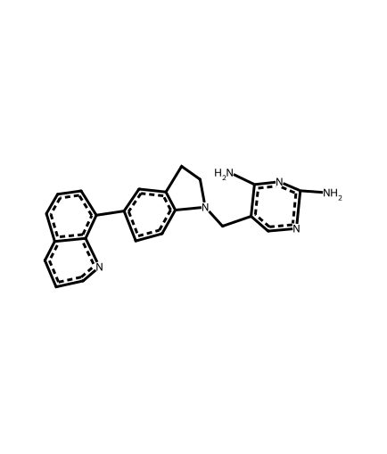 Nc1ncc(CN2CCc3cc(-c4cccc5cccnc45)ccc32)c(N)n1